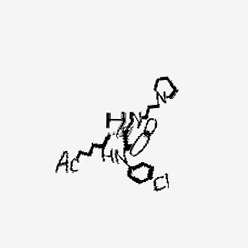 CC(=O)CCCCC[C@H](NC(=O)CCN1CCCCC1)C(=O)Nc1ccc(Cl)cc1